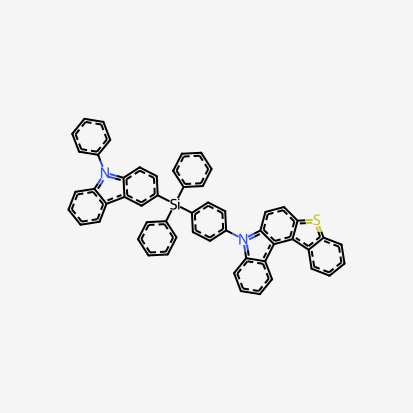 c1ccc(-n2c3ccccc3c3cc([Si](c4ccccc4)(c4ccccc4)c4ccc(-n5c6ccccc6c6c7c(ccc65)sc5ccccc57)cc4)ccc32)cc1